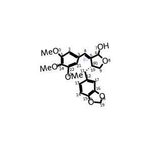 COc1cc(/C=C2/C(O)OC[C@@H]2Cc2ccc3c(c2)OCO3)cc(OC)c1OC